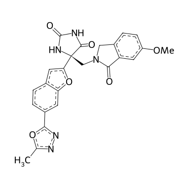 COc1ccc2c(c1)C(=O)N(C[C@@]1(c3cc4ccc(-c5nnc(C)o5)cc4o3)NC(=O)NC1=O)C2